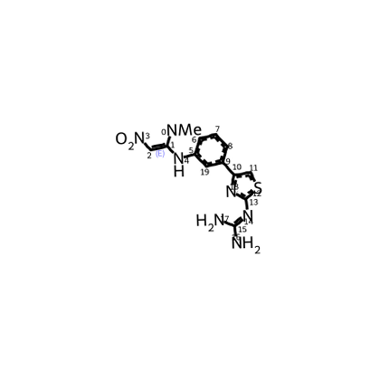 CN/C(=C\[N+](=O)[O-])Nc1cccc(-c2csc(N=C(N)N)n2)c1